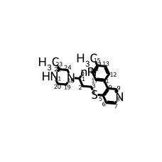 [CH2]CCC(CCSc1ccncc1-c1ccc(C)cc1)N1CCNC(C)C1